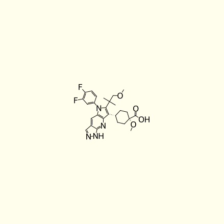 COCC(C)(C)c1c([C@H]2CC[C@](OC)(C(=O)O)CC2)c2nc3[nH]ncc3cc2n1-c1ccc(F)c(F)c1